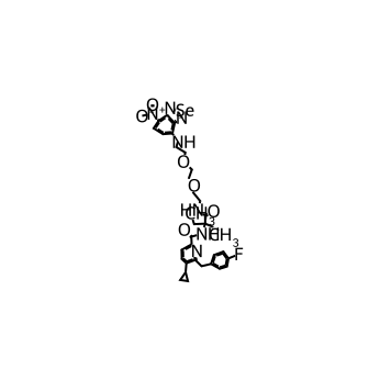 CCC(CC)(NC(=O)c1ccc(C2CC2)c(Cc2ccc(F)cc2)n1)C(=O)NCCOCCOCCNc1ccc([N+](=O)[O-])c2n[se]nc12